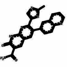 Cc1ncc(-c2nc3[nH]c(=O)c(C(N)=O)cc3cc2-c2ccc3ncccc3c2)s1